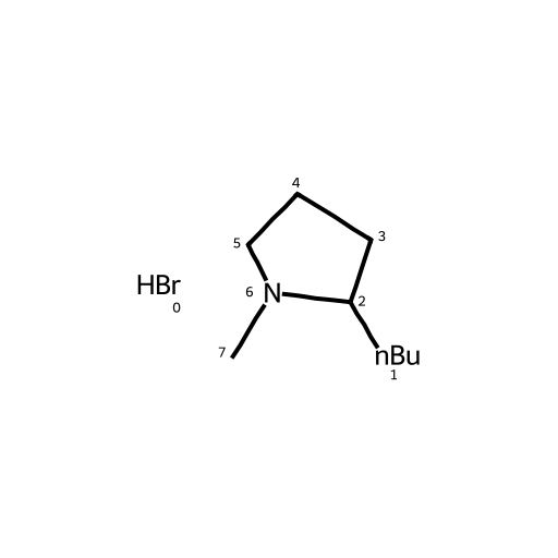 Br.CCCCC1CCCN1C